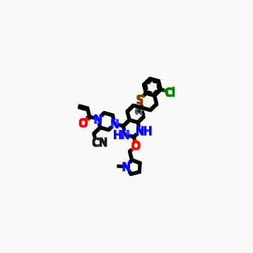 C=CC(=O)N1CCN(C2NC(OCC3CCCN3C)NC3C[C@]4(CCc5c(Cl)cccc5S4)CCC32)CC1CC#N